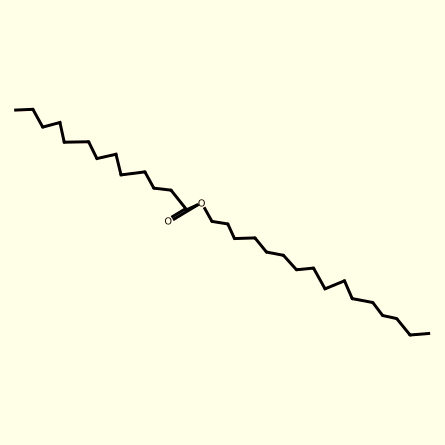 CCCCCCCCCCCCCCCCOC(=O)CCCCCCCCCCCC